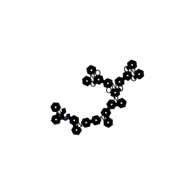 C=Cc1c(/C=C(\C)c2ccc3c(c2)c2ccccc2n3-c2ccc(-c3ccc(-n4c5ccccc5c5cc(-c6ccc7c(c6)c6ccccc6n7-c6cc7c8c(c6)Oc6cc(-c9cc%10c%11c(c9)Oc9ccccc9N%11c9ccccc9O%10)ccc6N8c6ccc(-c8cc9c%10c(c8)Oc8ccccc8N%10c8ccccc8O9)cc6O7)ccc54)cc3)cc2)c2ccccc2n1-c1ccccc1